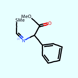 COC(=O)C(/N=C\SC)c1ccccc1